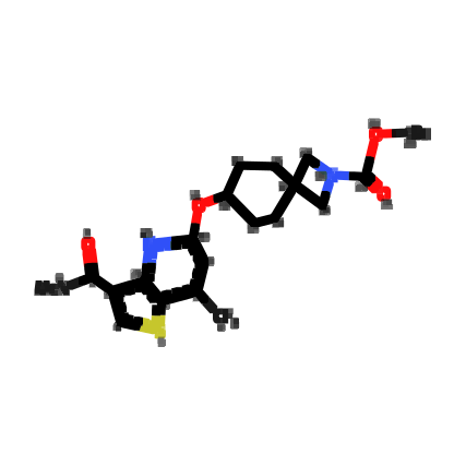 CNC(=O)c1csc2c(C(F)(F)F)cc(OC3CCC4(CC3)CN(C(=O)OC(C)(C)C)C4)nc12